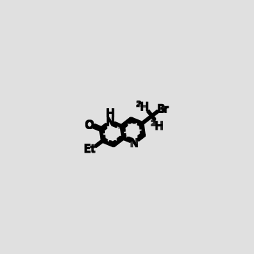 [2H]C([2H])(Br)c1cnc2cc(CC)c(=O)[nH]c2c1